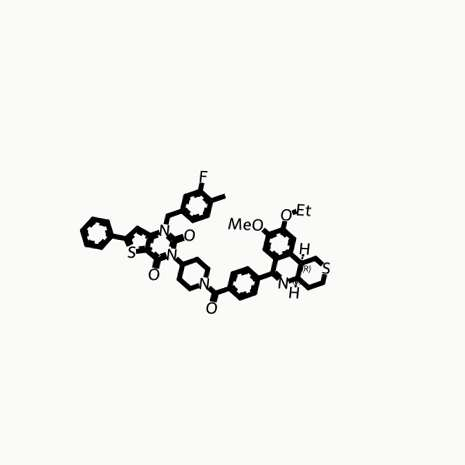 CCOc1cc2c(cc1OC)C(c1ccc(C(=O)N3CCC(n4c(=O)c5sc(-c6ccccc6)cc5n(Cc5ccc(C)c(F)c5)c4=O)CC3)cc1)=N[C@@H]1CCSC[C@H]21